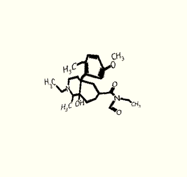 CCN(C=O)C(=O)C1CCC2(O)C(C)N(CC)CCC2(c2cc(OC)ccc2C)C1